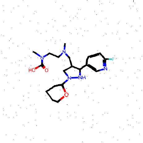 CN(CCN(C)C(=O)O)CC1CN(C2CCCCO2)NC1c1ccc(F)nc1